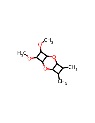 COC1C(OC)C2OC3C(C)C(C)C3OC12